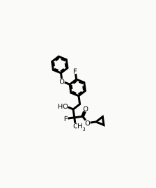 CC(F)(C(=O)OC1CC1)C(O)Cc1ccc(F)c(Oc2ccccc2)c1